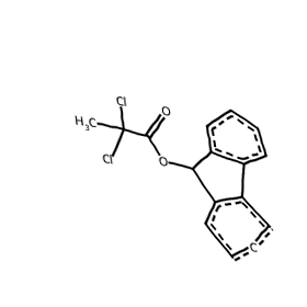 CC(Cl)(Cl)C(=O)OC1c2ccccc2-c2ccccc21